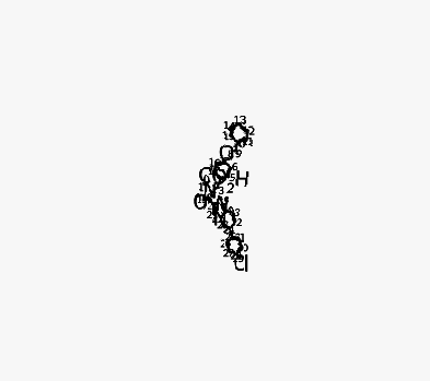 O=C(O)CN(Cc1ccc(OCc2ccccc2)cc1)C(=O)c1cn2cc(-c3ccc(Cl)cc3)ccc2n1